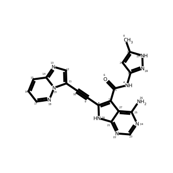 Cc1cc(NC(=O)c2c(C#Cc3cnc4cccnn34)[nH]c3ncnc(N)c23)n[nH]1